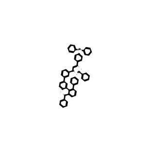 O=P(c1ccccc1)(c1ccccc1)c1ccc(-c2cc(-c3cccc(-c4ccc5nc(-c6ccccc6)c6cccc(-c7ccccc7)c6c5c4)c3)nc(-c3ccccc3)n2)cc1